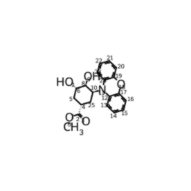 COC(=O)[C@@H]1C[C@H](O)[C@@H](O)[C@@H](N2c3ccccc3Oc3ccccc32)C1